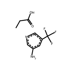 CCC(=O)O.Nc1cncc(C(F)(F)F)c1